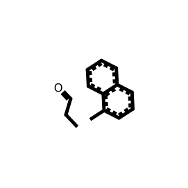 CCC=O.Cc1cccc2ccccc12